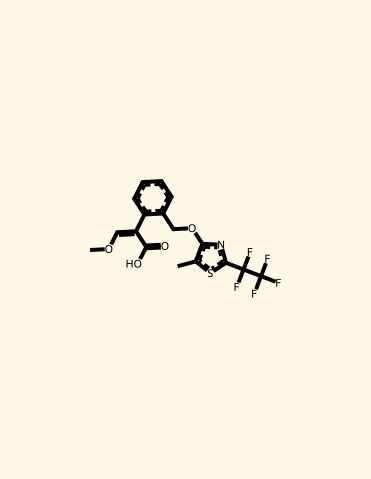 COC=C(C(=O)O)c1ccccc1COc1nc(C(F)(F)C(F)(F)F)sc1C